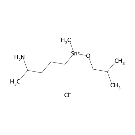 CC(C)C[O][Sn+]([CH3])[CH2]CCC(C)N.[Cl-]